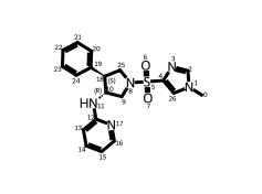 Cn1cnc(S(=O)(=O)N2C[C@H](Nc3ccccn3)[C@@H](c3ccccc3)C2)c1